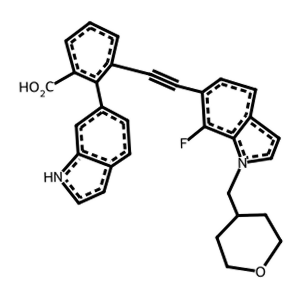 O=C(O)c1cccc(C#Cc2ccc3ccn(CC4CCOCC4)c3c2F)c1-c1ccc2cc[nH]c2c1